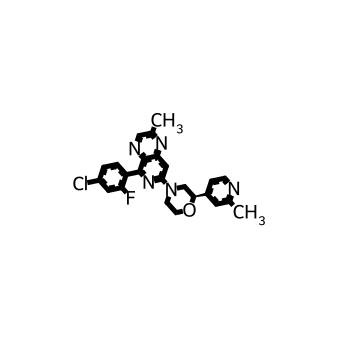 Cc1cc([C@@H]2CN(c3cc4nc(C)cnc4c(-c4ccc(Cl)cc4F)n3)CCO2)ccn1